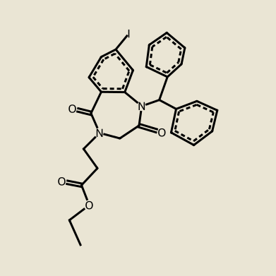 CCOC(=O)CCN1CC(=O)N(C(c2ccccc2)c2ccccc2)c2cc(I)ccc2C1=O